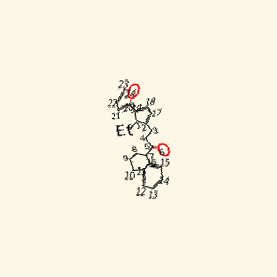 CCC1C(CCC(=O)C2CCCc3ccccc32)=CC=C1c1ccco1